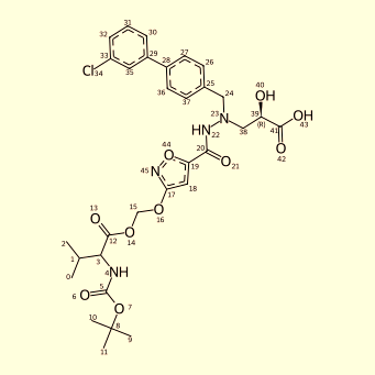 CC(C)C(NC(=O)OC(C)(C)C)C(=O)OCOc1cc(C(=O)NN(Cc2ccc(-c3cccc(Cl)c3)cc2)C[C@@H](O)C(=O)O)on1